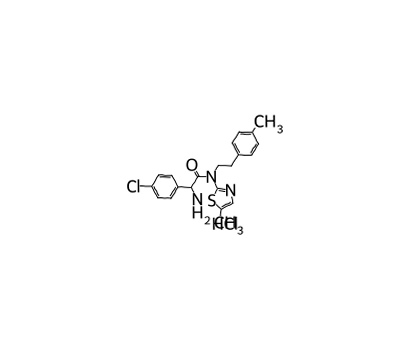 Cc1ccc(CCN(C(=O)C(N)c2ccc(Cl)cc2)c2ncc(C)s2)cc1.Cl